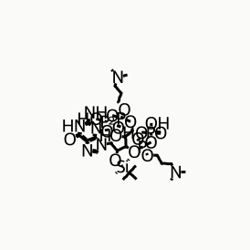 CN(C)CCCOP(=O)(OCC1OC(n2cnc3c(=O)[nH]c(N)nc32)C(O[Si](C)(C)C(C)(C)C)C1OP(=O)(OCCCN(C)C)OP(=O)(O)O)O[PH](=O)O